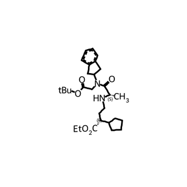 CCOC(=O)[C@H](CCN[C@@H](C)C(=O)N(CC(=O)OC(C)(C)C)C1Cc2ccccc2C1)C1CCCC1